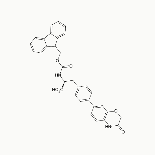 O=C1COc2cc(-c3ccc(C[C@H](NC(=O)OCC4c5ccccc5-c5ccccc54)C(=O)O)cc3)ccc2N1